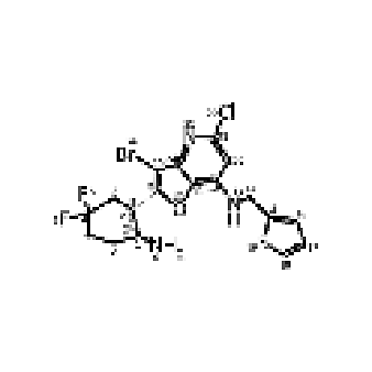 N[C@H]1CCC(F)(F)C[C@@H]1c1oc2c(NCc3cccs3)cc(Cl)nc2c1Br